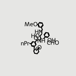 CCCc1cc(C(=O)N[C@@H](Cc2ccccc2)[C@H](O)CNCc2cccc(OC)c2)cc(N2CCCCC2=O)c1.O=CO